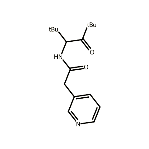 CC(C)(C)C(=O)C(NC(=O)Cc1cccnc1)C(C)(C)C